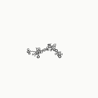 Cc1csc2c(OC(=O)N3CCN(C(=O)CNC(=O)[C@H](CC(C)C)N(C(=O)CCCCCN4C(=O)C=CC4=O)C(=O)[C@@H](N)Cc4ccccc4)CC3)cc3c(c12)[C@H](CCl)CN3C(=O)c1cc2cc(NC(=O)c3cc4ccccc4[nH]3)ccc2[nH]1